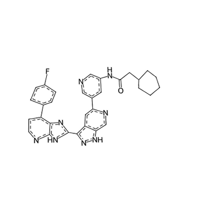 O=C(CC1CCCCC1)Nc1cncc(-c2cc3c(-c4nc5c(-c6ccc(F)cc6)ccnc5[nH]4)n[nH]c3cn2)c1